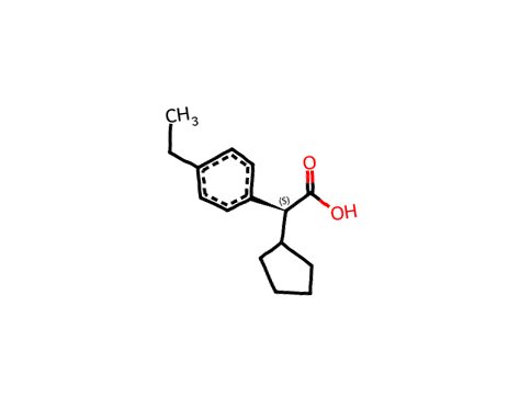 CCc1ccc([C@@H](C(=O)O)C2CCCC2)cc1